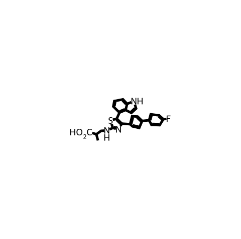 CC(CNc1nc(-c2ccc(-c3ccc(F)cc3)cc2)c(-c2cccc3[nH]ccc23)s1)C(=O)O